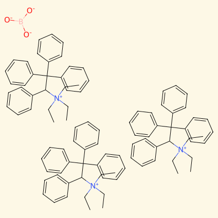 CC[N+](CC)(CC)C(c1ccccc1)C(c1ccccc1)(c1ccccc1)c1ccccc1.CC[N+](CC)(CC)C(c1ccccc1)C(c1ccccc1)(c1ccccc1)c1ccccc1.CC[N+](CC)(CC)C(c1ccccc1)C(c1ccccc1)(c1ccccc1)c1ccccc1.[O-]B([O-])[O-]